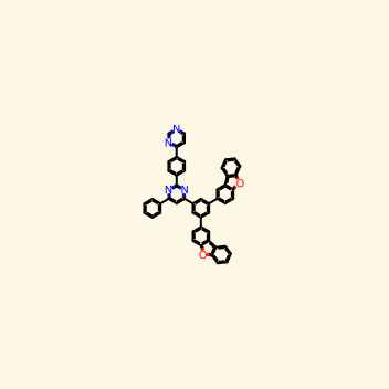 c1ccc(-c2cc(-c3cc(-c4ccc5oc6ccccc6c5c4)cc(-c4ccc5oc6ccccc6c5c4)c3)nc(-c3ccc(-c4ccncn4)cc3)n2)cc1